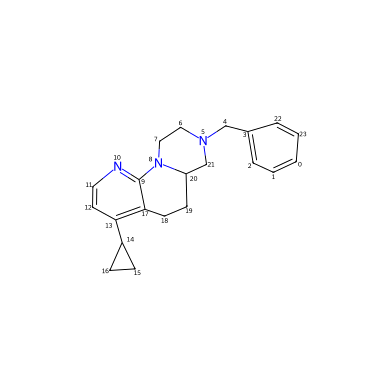 c1ccc(CN2CCN3c4nccc(C5CC5)c4CCC3C2)cc1